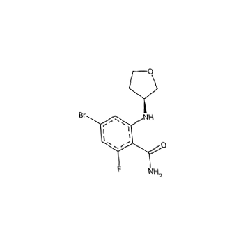 NC(=O)c1c(F)cc(Br)cc1N[C@H]1CCOC1